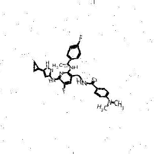 C[C@H](Nc1nc(Nc2cc(C3CC3)[nH]n2)c(F)cc1CNC(=O)c1ccc(N(C)C)cc1)c1ccc(F)cc1